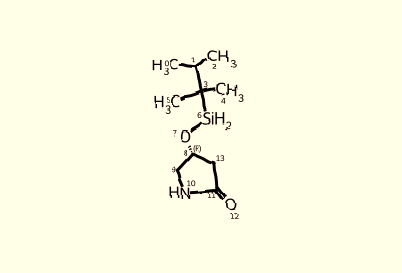 CC(C)C(C)(C)[SiH2]O[C@H]1CNC(=O)C1